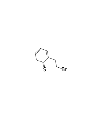 S=C1CC=CC=C1CCBr